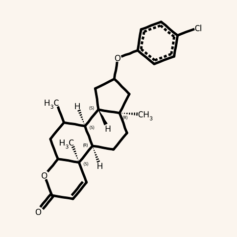 CC1CC2OC(=O)C=C[C@]2(C)[C@@H]2CC[C@]3(C)CC(Oc4ccc(Cl)cc4)C[C@H]3[C@H]12